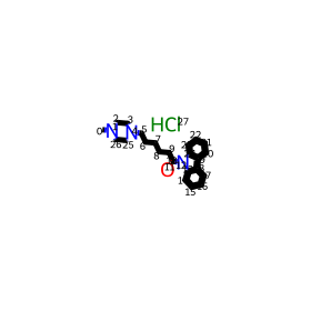 CN1CCN(CCCCCC(=O)n2c3ccccc3c3ccccc32)CC1.Cl